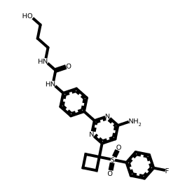 Nc1cc(C2(S(=O)(=O)c3ccc(F)cc3)CCC2)nc(-c2ccc(NC(=O)NCCCO)cc2)n1